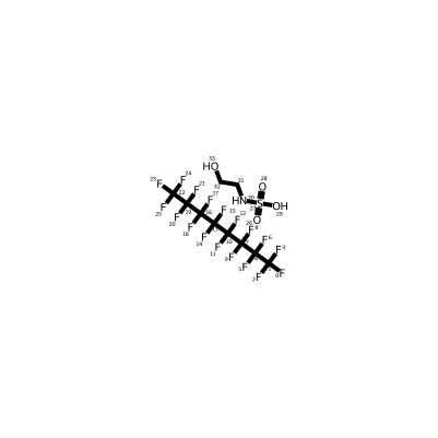 FC(F)(F)C(F)(F)C(F)(F)C(F)(F)C(F)(F)C(F)(F)C(F)(F)C(F)(F)F.O=S(=O)(O)NCCO